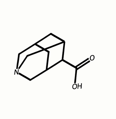 O=C(O)C1C2CC3CC1CN(C3)C2